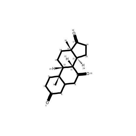 C[C@]12CCC(=O)CC1CC(=O)[C@@H]1[C@H]2CC[C@]2(C)C(=O)CC[C@@H]12